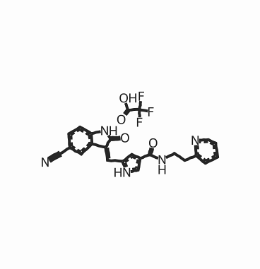 N#Cc1ccc2c(c1)/C(=C/c1cc(C(=O)NCCc3ccccn3)c[nH]1)C(=O)N2.O=C(O)C(F)(F)F